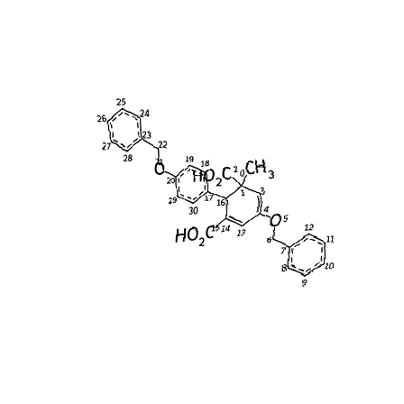 CC1(C(=O)O)C=C(OCc2ccccc2)C=C(C(=O)O)C1c1ccc(OCc2ccccc2)cc1